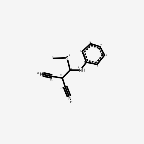 CSC(Nc1ccccc1)C(C#N)C#N